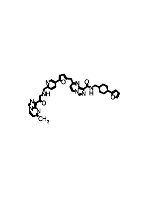 Cc1ccn2cnc(C(=O)CNCc3ccc(-c4ccc(Cc5ccn6cnc(C(=O)NCC7CCC(c8ccco8)CC7)c6n5)o4)cn3)c2n1